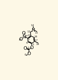 COC(=O)Oc1cc([N+](=O)[O-])c(CN(C)C)cc1C